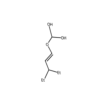 CCC(C=COC(O)O)CC